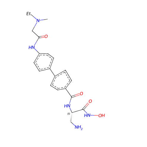 CCN(C)CC(=O)Nc1ccc(-c2ccc(C(=O)N[C@@H](CN)C(=O)NO)cc2)cc1